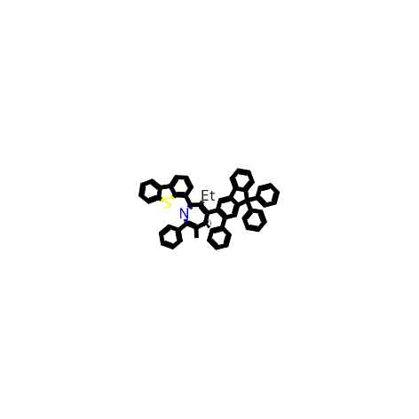 CCC1=C(c2cc3c(cc2-c2ccccc2)C(c2ccccc2)(c2ccccc2)c2ccccc2-3)[C@@H](C)C(C)=C(c2ccccc2)N=C1c1cccc2c1sc1ccccc12